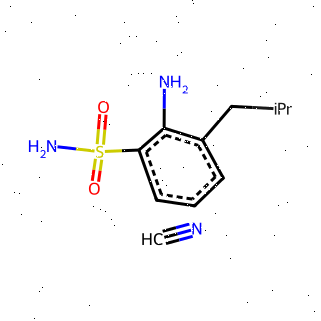 C#N.CC(C)Cc1cccc(S(N)(=O)=O)c1N